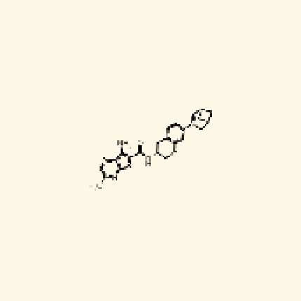 Cc1cnc2c(N)c(C(=O)N[C@H]3COc4cc(N5CC6CC(C5)N6)ccc4C3)sc2n1